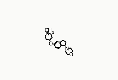 CN1CCC(Oc2ccc3c(c2)CCC3N2CCOCC2)CC1